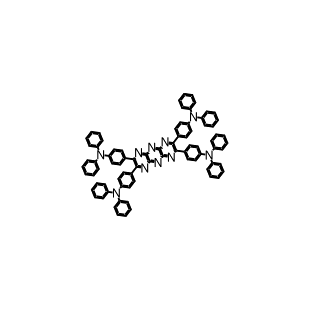 c1ccc(N(c2ccccc2)c2ccc(-c3nc4nc5nc(-c6ccc(N(c7ccccc7)c7ccccc7)cc6)c(-c6ccc(N(c7ccccc7)c7ccccc7)cc6)nc5nc4nc3-c3ccc(N(c4ccccc4)c4ccccc4)cc3)cc2)cc1